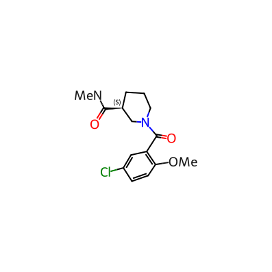 CNC(=O)[C@H]1CCCN(C(=O)c2cc(Cl)ccc2OC)C1